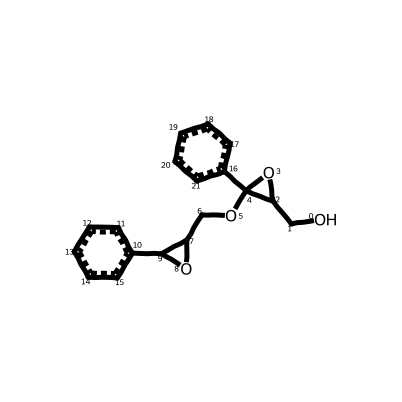 OCC1OC1(OCC1OC1c1ccccc1)c1ccccc1